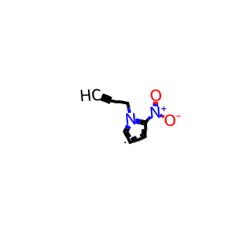 C#CCn1c[c]cc1[N+](=O)[O-]